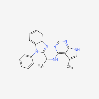 Cc1c[nH]c2ncnc(NC(C)c3nc4ccccc4n3-c3ccccc3)c12